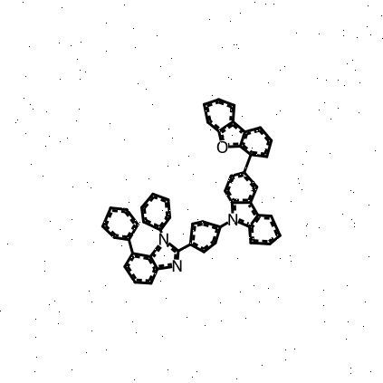 c1ccc(-c2cccc3nc(-c4ccc(-n5c6ccccc6c6cc(-c7cccc8c7oc7ccccc78)ccc65)cc4)n(-c4ccccc4)c23)cc1